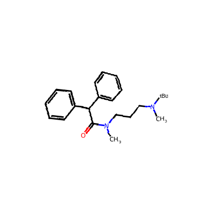 CN(CCCN(C)C(C)(C)C)C(=O)C(c1ccccc1)c1ccccc1